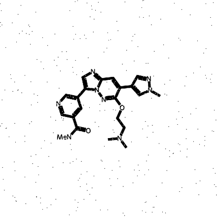 CNC(=O)c1cncc(-c2cnc3cc(-c4cnn(C)c4)c(OCCN(C)C)nn23)c1